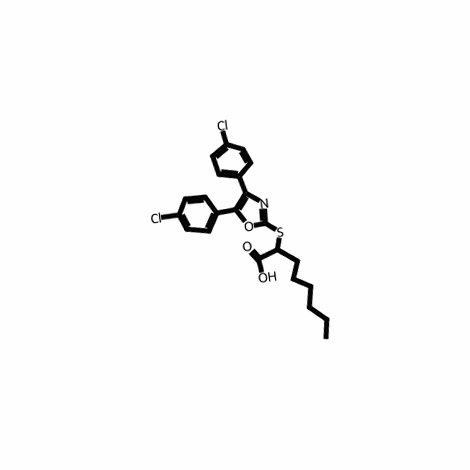 CCCCCCC(Sc1nc(-c2ccc(Cl)cc2)c(-c2ccc(Cl)cc2)o1)C(=O)O